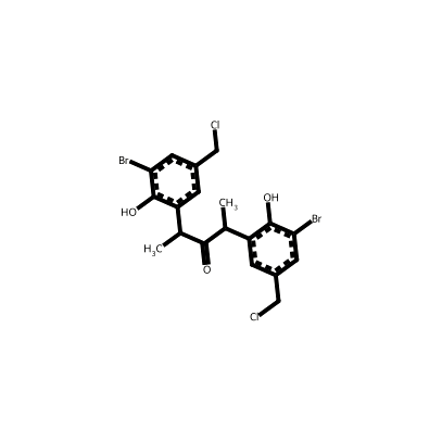 CC(C(=O)C(C)c1cc(CCl)cc(Br)c1O)c1cc(CCl)cc(Br)c1O